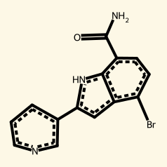 NC(=O)c1ccc(Br)c2cc(-c3cccnc3)[nH]c12